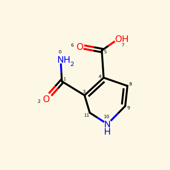 NC(=O)C1=C(C(=O)O)C=CNC1